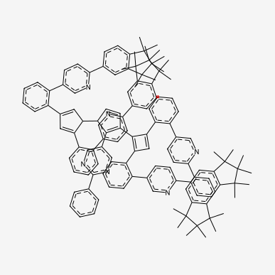 CC1(C)c2ccc(-c3ccc(-c4ccccc4C4=CC(C5C=CC(C6=C(c7ccccc7-c7ccc(-c8ccc9c(c8)C(C)(C)C(C)(C)C9(C)C)nc7)C=C6c6ccccc6-c6ccc(-c7ccc8c(c7)C(C)(C)C(C)(C)C8(C)C)nc6)=C5c5cnc(-c6ccccc6)nc5)C(c5ccccc5-c5ccc(-c6ccc7c(c6)C(C)(C)C(C)(C)C7(C)C)nc5)=C4)cn3)cc2C(C)(C)C1(C)C